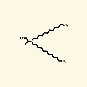 C=CC(=O)N(CCCCCCCCCCCC)CCCCCCCCCCCC